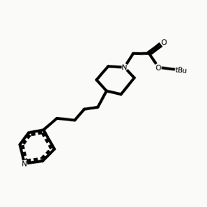 CC(C)(C)OC(=O)CN1CCC(CCCCc2ccncc2)CC1